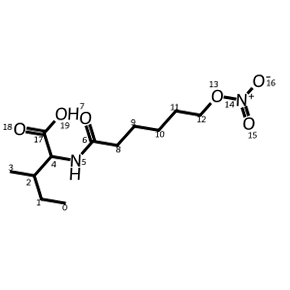 CCC(C)C(NC(=O)CCCCCO[N+](=O)[O-])C(=O)O